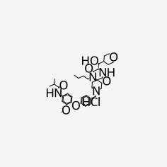 CCCCN1C(=O)[C@@H](C(O)C2CCOCC2)NC(=O)C12CCN(Cc1ccc(Oc3ccc(NC(=O)C(C)C)cc3OC)cc1)CC2.Cl